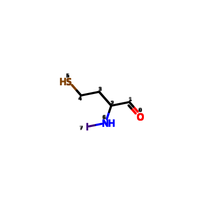 O=CC(CCS)NI